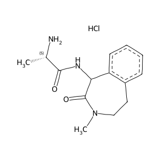 C[C@H](N)C(=O)NC1C(=O)N(C)CCc2ccccc21.Cl